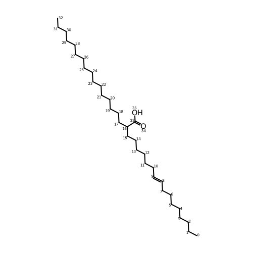 CCCCCCCCC=CCCCCCCC(CCCCCCCCCCCCCCCC)C(=O)O